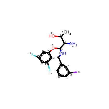 CC(O)C(N)C(NCc1cccc(I)c1)Oc1cc(F)cc(F)c1